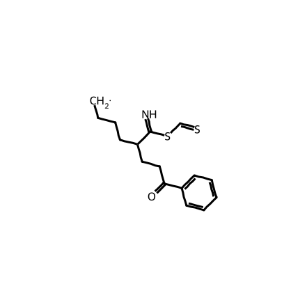 [CH2]CCCC(CCC(=O)c1ccccc1)C(=N)SC=S